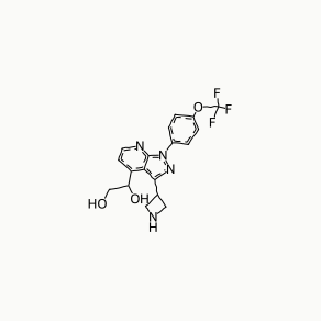 OCC(O)c1ccnc2c1c(C1CNC1)nn2-c1ccc(OC(F)(F)F)cc1